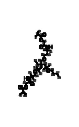 C=C(C)C(=O)OCC(=O)NC(C)(C)CCOCC(CC)(CC(C)(C)OCCCC)CC(C)(C)OCC(C)(C)NC(=O)COC(=O)C(=C)C